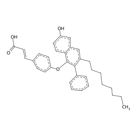 CCCCCCCCc1cc2cc(O)ccc2c(Oc2ccc(C=CC(=O)O)cc2)c1-c1ccccc1